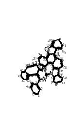 c1ccc(-c2nc(-n3c4ccccc4c4ccc5c6c7ccccc7oc6c6ccccc6c5c43)nc3ccc4ccccc4c23)cc1